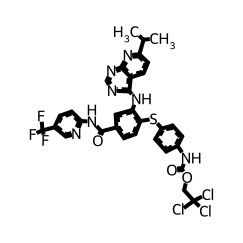 CC(C)c1ccc2c(Nc3cc(C(=O)Nc4ccc(C(F)(F)F)cn4)ccc3Sc3ccc(NC(=O)OCC(Cl)(Cl)Cl)cc3)ncnc2n1